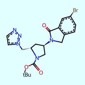 CC(C)(C)OC(=O)N1C[C@H](N2Cc3ccc(Br)cc3C2=O)C[C@H]1Cn1ccnn1